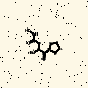 CCCCC(CC(=O)NO)C(=O)N1CCCC1